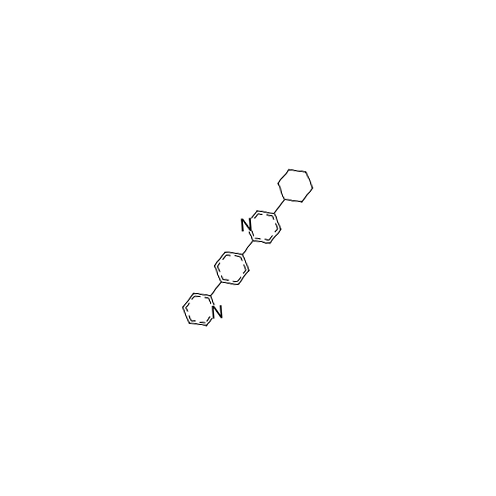 c1ccc(-c2ccc(-c3ccc(C4CCCCC4)cn3)cc2)nc1